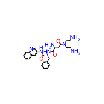 NCCN(CCN)C(=O)C[C@H](N)C(=O)N[C@@H](Cc1ccccc1)C(=O)Nc1cnc2ccccc2c1